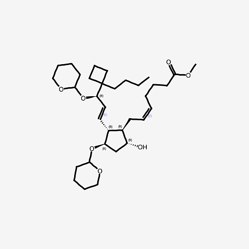 CCCCC1([C@@H](/C=C/[C@@H]2[C@@H](C/C=C\CCCC(=O)OC)[C@H](O)C[C@H]2OC2CCCCO2)OC2CCCCO2)CCC1